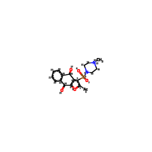 CC(=O)c1oc2c(c1S(=O)(=O)N1CCN(C)CC1)C(=O)c1ccccc1C2=O